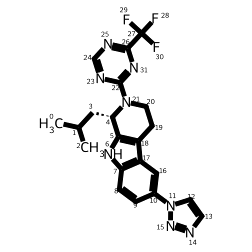 CC(C)C[C@H]1c2[nH]c3ccc(-n4ccnn4)cc3c2CCN1c1ncnc(C(F)(F)F)n1